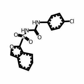 O=C(Nc1ccc(Cl)cc1)NS(=O)(=O)c1occ2ccccc12